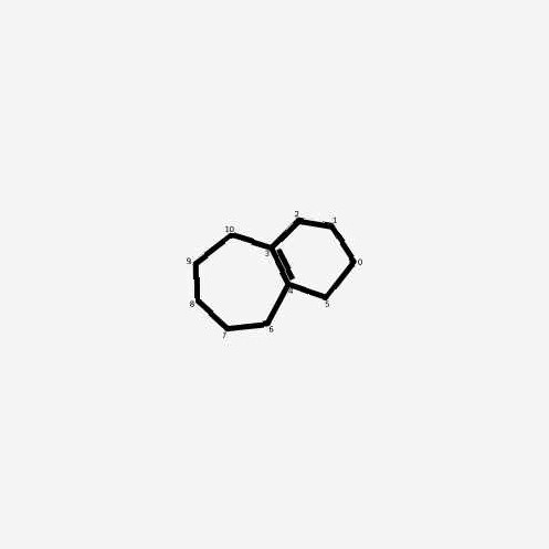 [CH]1CCC2=C(C1)CCCCC2